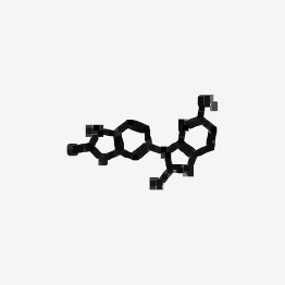 CCc1nc2ccc(C(F)(F)F)nc2n1-c1ccc2[nH]c(=O)sc2c1